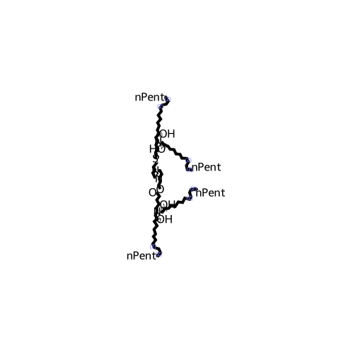 CCCCC/C=C\C/C=C\CCCCCC[C@@H](O)CN(CCCCC(=O)OCCN1CCN(CCSSCCCN(C[C@@H](O)CCCCCC/C=C\C/C=C\CCCCC)C[C@@H](O)CCCCCC/C=C\C/C=C\CCCCC)CC1)C[C@H](O)CCCCCC/C=C\C/C=C\CCCCC